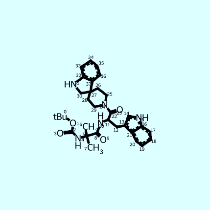 CC(C)(C)OC(=O)NC(C)(C)C(=O)NC(Cc1c[nH]c2ccccc12)C(=O)N1CCC2(CC1)CNc1ccccc12